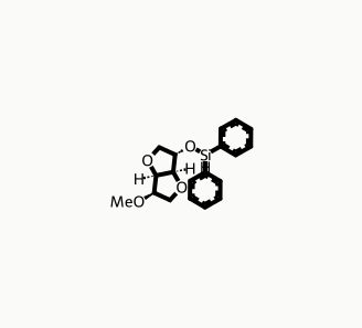 CO[C@@H]1CO[C@H]2[C@@H]1OC[C@@H]2O[SiH](c1ccccc1)c1ccccc1